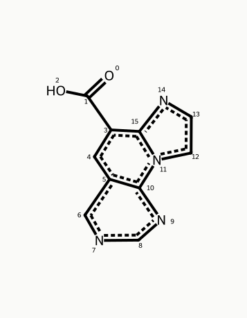 O=C(O)c1cc2cncnc2n2ccnc12